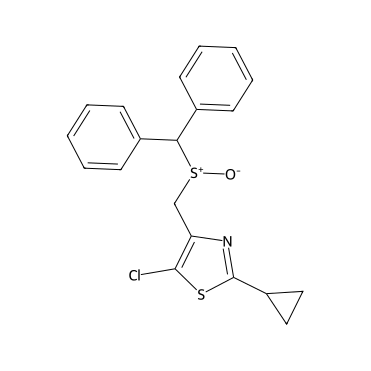 [O-][S+](Cc1nc(C2CC2)sc1Cl)C(c1ccccc1)c1ccccc1